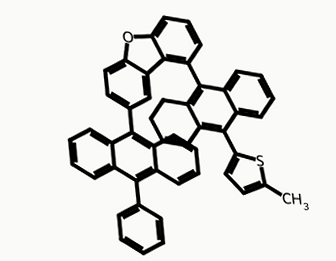 Cc1ccc(-c2c3c(c(-c4cccc5oc6ccc(-c7c8ccccc8c(-c8ccccc8)c8ccccc78)cc6c45)c4ccccc24)CCC=C3)s1